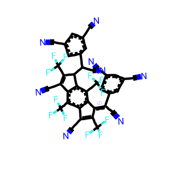 N#CC1=C(C(F)(F)F)/C(=C(\C#N)c2cc(C#N)cc(C#N)c2)c2c1c(C(F)(F)F)c1c(c2C(F)(F)F)C(C(C#N)c2cc(C#N)cc(C#N)c2)C(C(F)(F)F)=C1C#N